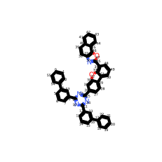 c1ccc(-c2cccc(-c3nc(-c4cccc(-c5ccccc5)c4)nc(-c4ccc5c(c4)oc4c(-c6nc7ccc8ccccc8c7o6)cccc45)n3)c2)cc1